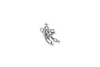 C[C@@H]1C=C2C3=C(C1)N(c1ccc(C(C)(C)C)cc1-c1ccccc1)c1c(ccc4c1C(C)(C)CCC4)B3c1oc3ccc(C(C)(C)C)cc3c1N2C1C=CC(C(C)(C)C)=CC1